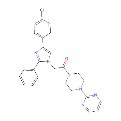 Cc1ccc(-c2cn(CC(=O)N3CCN(c4ncccn4)CC3)c(-c3ccccc3)n2)cc1